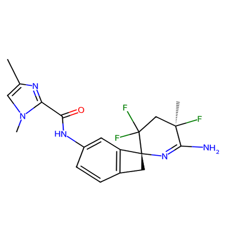 Cc1cn(C)c(C(=O)Nc2ccc3c(c2)[C@@]2(C3)N=C(N)[C@](C)(F)CC2(F)F)n1